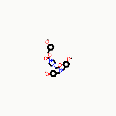 COc1ccc(CN(Cc2ccc(OC)cc2)C(=O)CN2CCN(C(=O)OCc3cccc(OC)c3)CC2)cc1